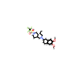 CCCN(CC1CCN(S(=O)(=O)C(F)(F)F)CC1)C1CCc2cc(OC)c(OC)cc2C1